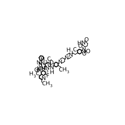 CCOc1cc(N2CCC(N3CCN(CCc4cc5oc(=O)n(C6CCC(=O)NC6=O)c5cc4C)CC3)CC2)c(CC)cc1Nc1ncc(-n2nnc3ccccc32)c(Nc2cc(F)c3nc(CC)ccc3c2P(C)(C)=O)n1